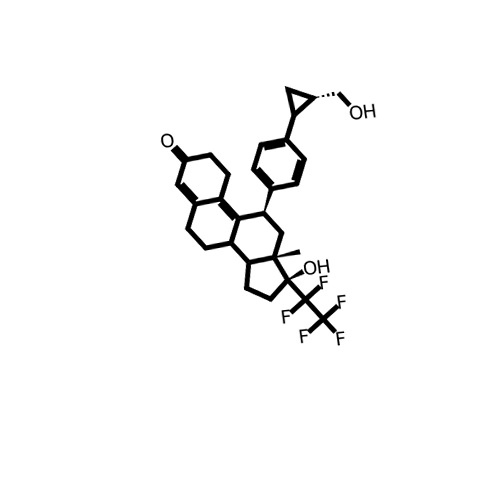 C[C@]12C[C@H](c3ccc(C4C[C@@H]4CO)cc3)C3=C4CCC(=O)C=C4CCC3C1CC[C@@]2(O)C(F)(F)C(F)(F)F